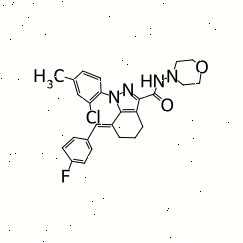 Cc1ccc(-n2nc(C(=O)NN3CCOCC3)c3c2/C(=C/c2ccc(F)cc2)CCC3)c(Cl)c1